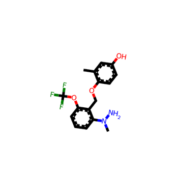 Cc1cc(O)ccc1OCc1c(OC(F)(F)F)cccc1N(C)N